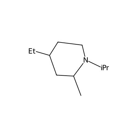 CCC1CCN(C(C)C)C(C)C1